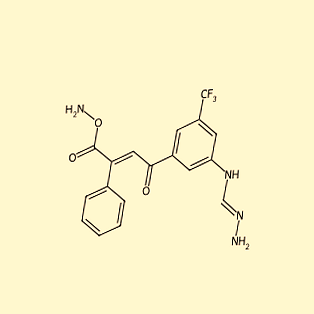 NN=CNc1cc(C(=O)C=C(C(=O)ON)c2ccccc2)cc(C(F)(F)F)c1